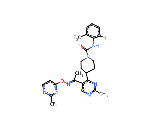 C/C(=N\Oc1ccnc(C(F)(F)F)n1)c1cnc(C)nc1C1CCN(C(=O)Nc2c(F)cccc2C(F)(F)F)CC1